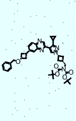 CC(C)(C)OC(=O)N(C[C@H]1C[C@H](n2cc(-c3cnc4ccc(C5CC(OCc6ccccc6)C5)cc4n3)c(C3CC3)n2)C1)C(=O)OC(C)(C)C